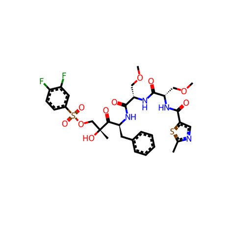 COC[C@H](NC(=O)c1cnc(C)s1)C(=O)N[C@@H](COC)C(=O)N[C@@H](Cc1ccccc1)C(=O)[C@](C)(O)COS(=O)(=O)c1ccc(F)c(F)c1